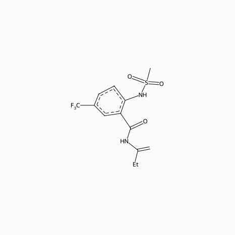 C=C(CC)NC(=O)c1cc(C(F)(F)F)ccc1NS(C)(=O)=O